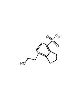 O=S(=O)(c1ccc(CCO)c2c1CCC2)C(F)(F)F